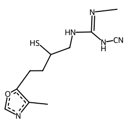 CN=C(NC#N)NCC(S)CCc1ocnc1C